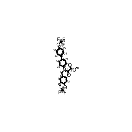 COC(=O)C(=O)N(Cc1ccc(OC(F)(F)F)cc1)c1ccc(-c2ccc(OC(F)(F)F)cc2)cc1